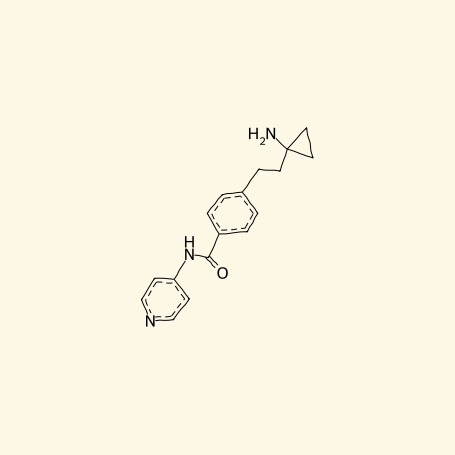 NC1(CCc2ccc(C(=O)Nc3ccncc3)cc2)CC1